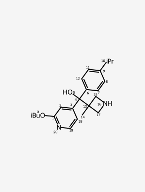 CC(C)COc1cc(C(O)(c2ccc(C(C)C)cc2)C2(C)CNC2)ccn1